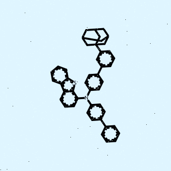 c1ccc(-c2ccc(N(c3ccc(-c4cccc(C56CC7CC(CC(C7)C5)C6)c4)cc3)c3cccc4c3sc3ccccc34)cc2)cc1